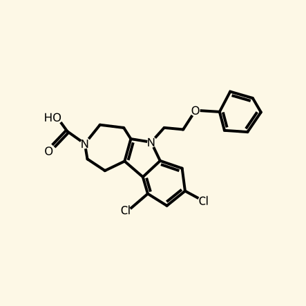 O=C(O)N1CCc2c(n(CCOc3ccccc3)c3cc(Cl)cc(Cl)c23)CC1